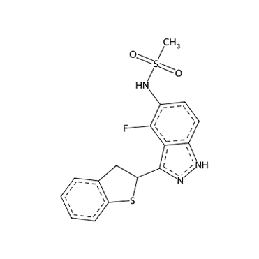 CS(=O)(=O)Nc1ccc2[nH]nc(C3Cc4ccccc4S3)c2c1F